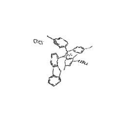 CC1=[C]([Zr+2](=[C](c2ccc(C)cc2)c2ccc(C)cc2)[c]2cccc3c2Cc2ccccc2-3)C(C)C=C1C(C)(C)C.[Cl-].[Cl-]